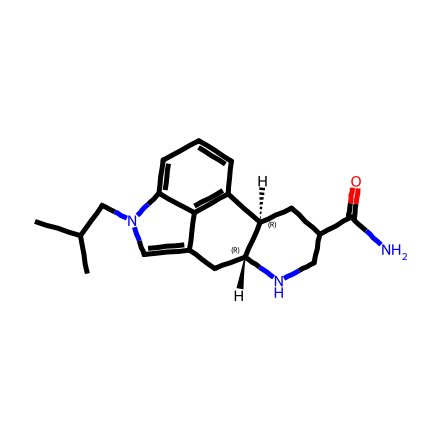 CC(C)Cn1cc2c3c(cccc31)[C@H]1CC(C(N)=O)CN[C@@H]1C2